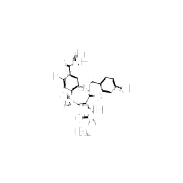 CC(C)NC(=O)c1cc2c(cc1F)S(=O)(=O)C[C@H](NC(=O)OC(C)(C)C)C(=O)N2Cc1ccc(Cl)cc1